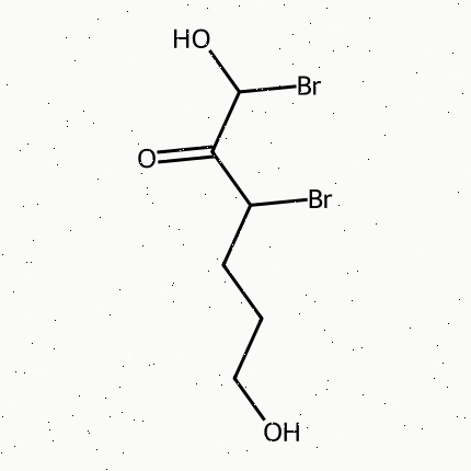 O=C(C(O)Br)C(Br)CCCO